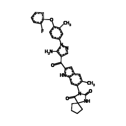 Cc1cc(-n2ncc(C(=O)c3cc4cc(C)c(N5C(=O)NC6(CCCC6)C5=O)cc4[nH]3)c2N)ccc1Oc1ccccc1F